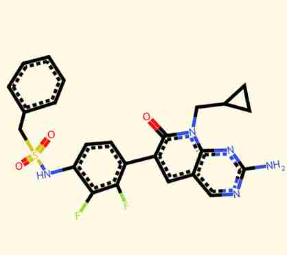 Nc1ncc2cc(-c3ccc(NS(=O)(=O)Cc4ccccc4)c(F)c3F)c(=O)n(CC3CC3)c2n1